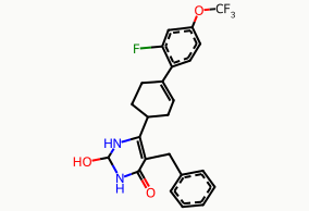 O=C1NC(O)NC(C2CC=C(c3ccc(OC(F)(F)F)cc3F)CC2)=C1Cc1ccccc1